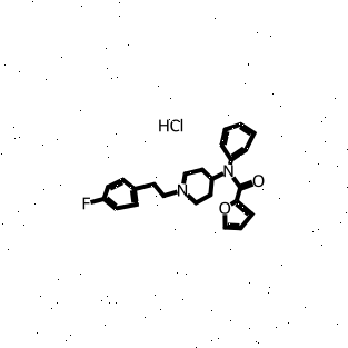 Cl.O=C(c1ccco1)N(c1ccccc1)C1CCN(CCc2ccc(F)cc2)CC1